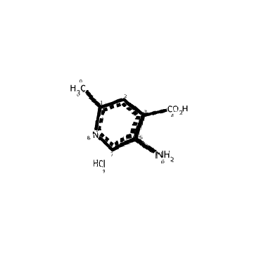 Cc1cc(C(=O)O)c(N)cn1.Cl